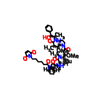 CC[C@H](C)[C@@H]([C@@H](CC(=O)N1CCC[C@H]1[C@H](OC)[C@@H](C)C(=O)N[C@H](C)[C@@H](O)c1ccccc1)OC)N(C)C(=O)[C@@H](NC(=O)[C@@H]1[C@H]2CC[C@@H]([C@H]2C)N1C(=O)CCCCCN1C(=O)C=CC1=O)C(C)C